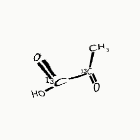 C[13C](=O)[13C](=O)O